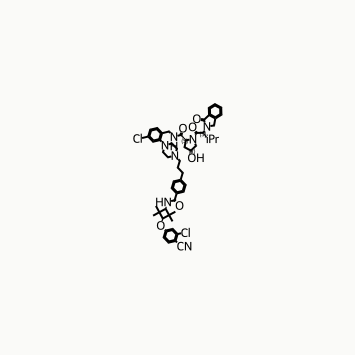 CC(C)[C@@H](C(=O)N1C[C@H](O)C[C@H]1C(=O)NCc1ccc(Cl)cc1N1CCN(CCCc2ccc(C(=O)N[C@H]3C(C)(C)[C@H](Oc4ccc(C#N)c(Cl)c4)C3(C)C)cc2)CC1)N1Cc2ccccc2C1=O